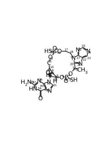 C[C@H]1OP(=O)(S)O[C@@H]2[C@H](F)C(COP(=O)(S)OCCn3c1nc1cncnc13)O[C@H]2n1cnc2c(=O)[nH]c(N)nc21